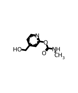 CNC(=O)Oc1cc(CO)ccn1